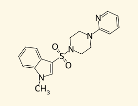 Cn1cc(S(=O)(=O)N2CCN(c3ccccn3)CC2)c2ccccc21